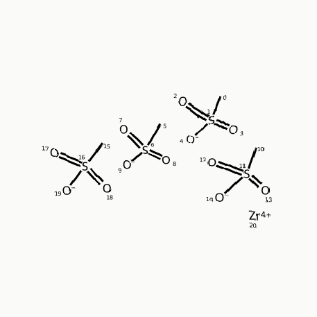 CS(=O)(=O)[O-].CS(=O)(=O)[O-].CS(=O)(=O)[O-].CS(=O)(=O)[O-].[Zr+4]